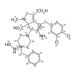 CN1CC(C(=O)O)=C(OCc2ccc(Cl)c(Cl)c2)C1(C(=O)O)C(C(N)=O)N1CC[N+](Cc2ccccc2)(NO)CC1